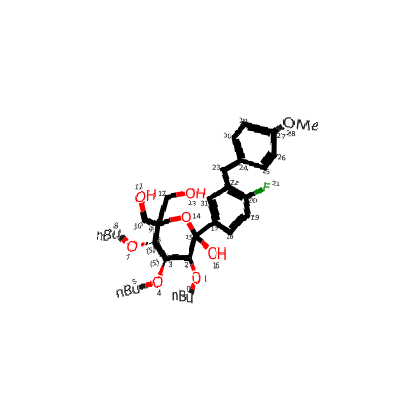 CCCCOC1[C@@H](OCCCC)[C@H](OCCCC)C(CO)(CO)OC1(O)c1ccc(F)c(Cc2ccc(OC)cc2)c1